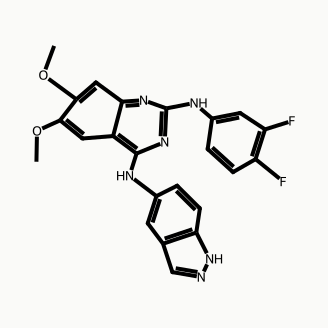 COc1cc2nc(Nc3ccc(F)c(F)c3)nc(Nc3ccc4[nH]ncc4c3)c2cc1OC